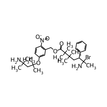 CC(C)(N)CC(C)(C)Oc1ccc([N+](=O)[O-])c(COC(=O)C(C)(C)C(C)(C)CC(c2ccccc2)C(C)(N)Br)c1